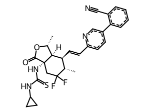 C[C@H]1OC(=O)[C@]2(NC(=S)NC3CC3)CC(F)(F)[C@@H](C)[C@H](/C=C/c3ccc(-c4ccccc4C#N)cn3)[C@H]12